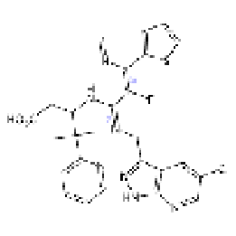 C=N/C(=C(F)\C(=N/Cc1n[nH]c2ncc(Cl)cc12)NC(CC(=O)O)C(C)(C)c1ccccn1)c1cccs1